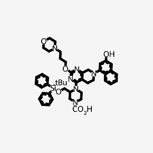 CC(C)(C)[Si](OCC1CN(C(=O)O)CCN1c1nc(OCCCN2CCOCC2)nc2c1CCN(c1cc(O)cc3ccccc13)C2)(c1ccccc1)c1ccccc1